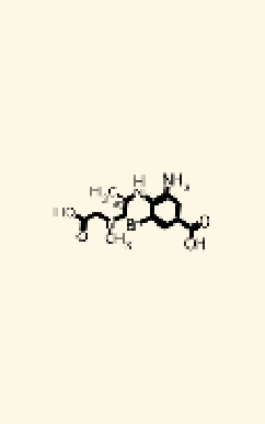 C[C@H](CN(C)CC(=O)O)Nc1c(N)cc(C(=O)O)cc1Br